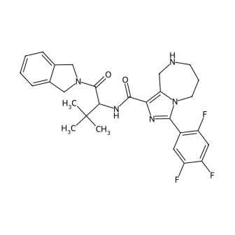 CC(C)(C)C(NC(=O)c1nc(-c2cc(F)c(F)cc2F)n2c1CNCCC2)C(=O)N1Cc2ccccc2C1